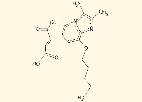 CCCCCOc1cccn2c(N)c(C)nc12.O=C(O)/C=C/C(=O)O